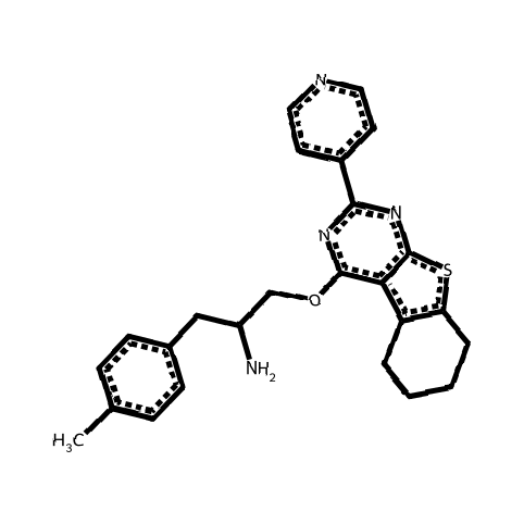 Cc1ccc(CC(N)COc2nc(-c3ccncc3)nc3sc4c(c23)CCCC4)cc1